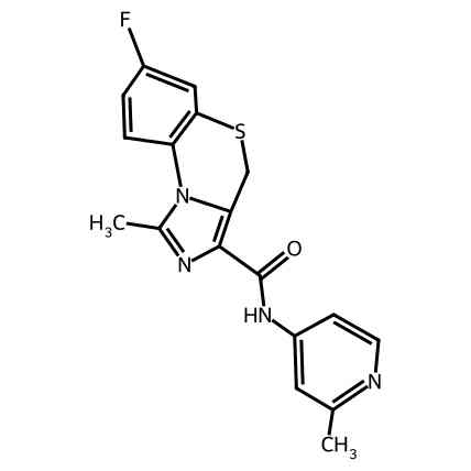 Cc1cc(NC(=O)c2nc(C)n3c2CSc2cc(F)ccc2-3)ccn1